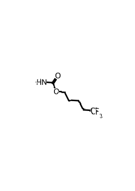 [NH]C(=O)OCCCCC(F)(F)F